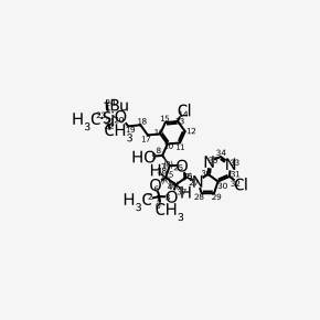 CC1(C)O[C@@H]2[C@H](O1)[C@@H](C(O)c1ccc(Cl)cc1CCCO[Si](C)(C)C(C)(C)C)O[C@H]2n1ccc2c(Cl)ncnc21